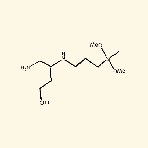 CO[Si](C)(CCCNC(CN)CCO)OC